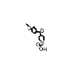 CCOc1ccc(C(=O)C2CCN(CC(=O)O)CC2)cc1